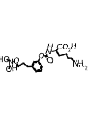 NCCCCC(NC(=O)Oc1cccc(CCCON(O)O)c1)C(=O)O